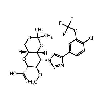 CO[C@@H]1[C@@H](n2cc(-c3ccc(Cl)c(OC(F)(F)F)c3)nn2)[C@H]2OC(C)(C)OC[C@H]2O[C@H]1C(=O)O